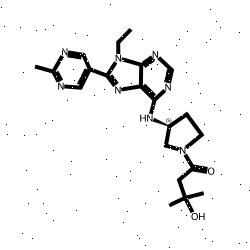 CCn1c(-c2cnc(C)nc2)nc2c(N[C@H]3CCN(C(=O)CC(C)(C)O)C3)ncnc21